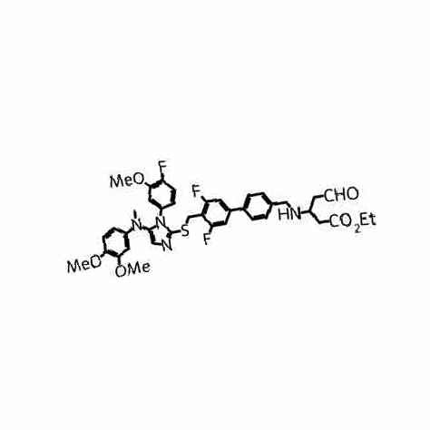 CCOC(=O)CC(CC=O)NCc1ccc(-c2cc(F)c(CSc3ncc(N(C)c4ccc(OC)c(OC)c4)n3-c3ccc(F)c(OC)c3)c(F)c2)cc1